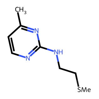 CSCCNc1nccc(C)n1